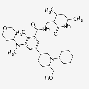 Cc1c(C(=O)NCC2C(=O)NC(C)CC2C)cc(C2CCC(CO)N(C3CCCCC3)C2)cc1N(C)C1CCOCC1